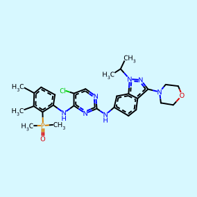 Cc1ccc(Nc2nc(Nc3ccc4c(N5CCOCC5)nn(C(C)C)c4c3)ncc2Cl)c(P(C)(C)=O)c1C